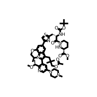 COC(=O)[C@@H]1CCCN(C(=O)[C@H](Cc2nc(-c3cc4c5c(c3)c(CC(C)(C)COC(C)=O)c(-c3cc(N6CCN(C)CC6)cnc3[C@H](C)OC)n5C(C)CO4)cs2)NC(=O)OC(C)(C)C)N1